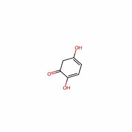 O=C1CC(O)=CC=C1O